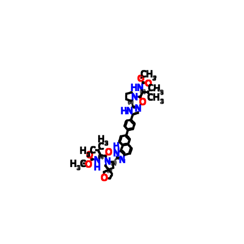 COC(=O)N[C@H](C(=O)N1CCC[C@H]1c1ncc(-c2ccc(-c3ccc4c(ccc5nc([C@@H]6C[C@]7(CCOC7)CN6C(=O)[C@@H](NC(=O)OC)C(C)C)[nH]c54)c3)cc2)[nH]1)C(C)C